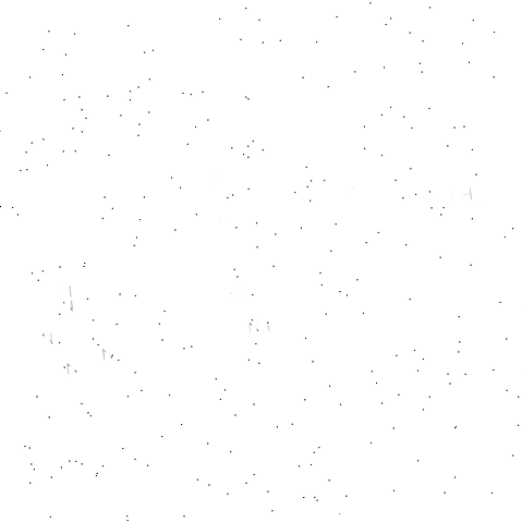 CCCOc1ccc2oc3cc(-c4nnn[nH]4)ccc3c(=O)c2c1.[Na]